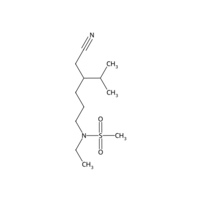 CCN(CCCC(CC#N)C(C)C)S(C)(=O)=O